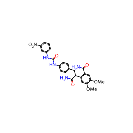 COc1cc(C(N)=O)c(C(Cc2ccc(NC(=O)Nc3cccc([N+](=O)[O-])c3)cc2)C(N)=O)cc1OC